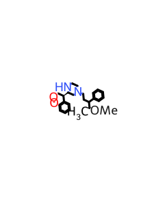 COC(C)C(CCN1CCNC([C@@H]2COOc3ccccc32)C1)c1ccccc1